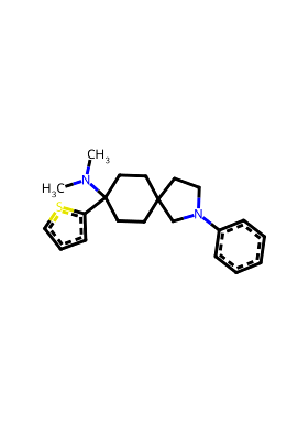 CN(C)C1(c2cccs2)CCC2(CCN(c3ccccc3)C2)CC1